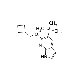 CC(C)(C)c1cc2cc[nH]c2nc1OCC1CCC1